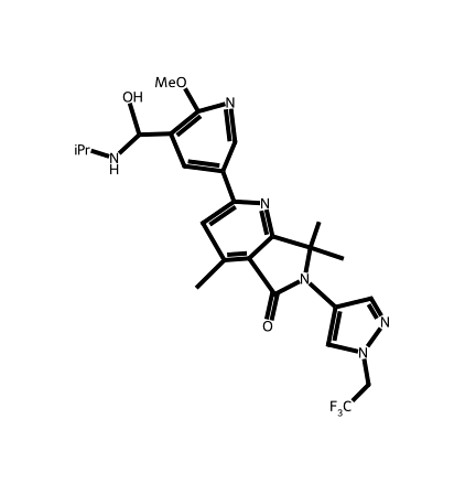 COc1ncc(-c2cc(C)c3c(n2)C(C)(C)N(c2cnn(CC(F)(F)F)c2)C3=O)cc1C(O)NC(C)C